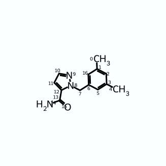 Cc1cc(C)cc(Cn2nccc2C(N)=O)c1